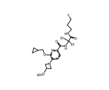 CCC(CC)(NC(=O)c1ccc(N2CC(OC)C2)c(OCC2CC2)n1)C(=O)NCCCF